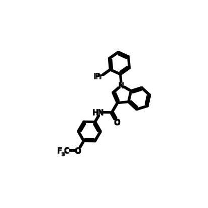 CC(C)c1ccccc1-n1cc(C(=O)Nc2ccc(OC(F)(F)F)cc2)c2ccccc21